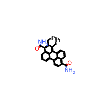 CC(C)Cc1c(C(N)=O)c2cccc3c4ccc(C(N)=O)c5cccc(c(c1CC(C)C)c23)c54